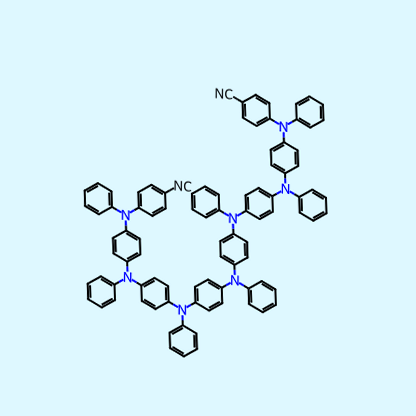 [C-]#[N+]c1ccc(N(c2ccccc2)c2ccc(N(c3ccccc3)c3ccc(N(c4ccccc4)c4ccc(N(c5ccccc5)c5ccc(N(c6ccccc6)c6ccc(N(c7ccccc7)c7ccc(N(c8ccccc8)c8ccc(C#N)cc8)cc7)cc6)cc5)cc4)cc3)cc2)cc1